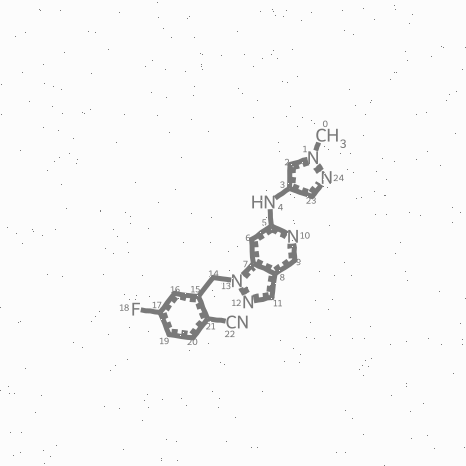 Cn1cc(Nc2cc3c(cn2)cnn3Cc2cc(F)ccc2C#N)cn1